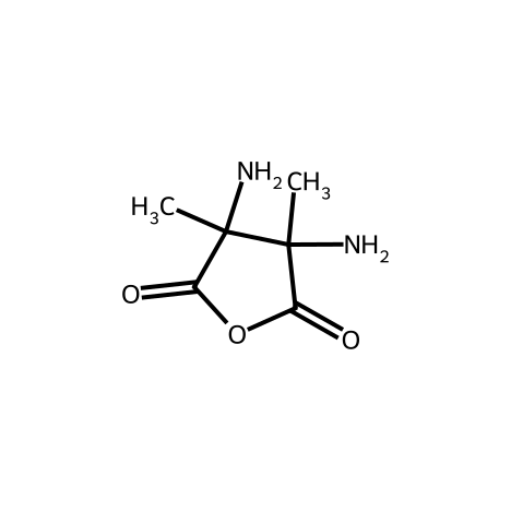 CC1(N)C(=O)OC(=O)C1(C)N